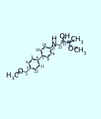 COCc1ccc(-c2ccc(NC[C@@H](O)[C@@H](C)OC)cc2)cc1